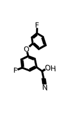 N#CC(O)c1cc(F)cc(Oc2cccc(F)c2)c1